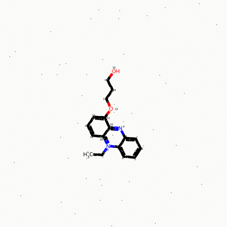 CC[n+]1c2ccccc2nc2c(OCCCO)cccc21